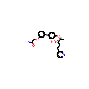 C[C@H](Oc1ccc(-c2cccc(OCC(N)=O)c2)cc1)[C@H](O)CCc1cccnc1